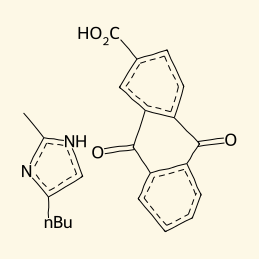 CCCCc1c[nH]c(C)n1.O=C(O)c1ccc2c(c1)C(=O)c1ccccc1C2=O